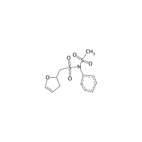 CS(=O)(=O)N(c1ccccc1)S(=O)(=O)CC1CC=CO1